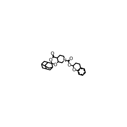 O=C1OC2(OC3CN(C(=O)OC4CCc5ccccc5O4)CCC13)C1CC3CC(C1)CC2C3